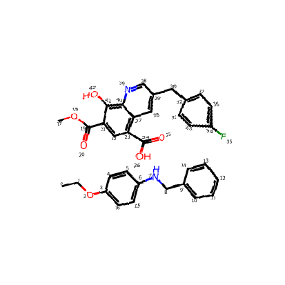 CCOc1ccc(NCc2ccccc2)cc1.COC(=O)c1cc(C(=O)O)c2cc(Cc3ccc(F)cc3)cnc2c1O